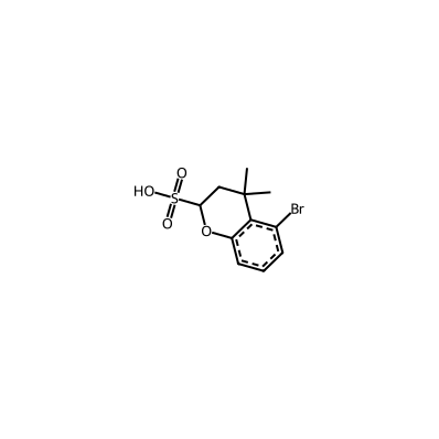 CC1(C)CC(S(=O)(=O)O)Oc2cccc(Br)c21